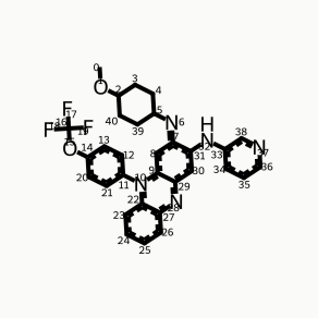 COC1CCC(/N=c2\cc3n(-c4ccc(OC(F)(F)F)cc4)c4ccccc4nc-3cc2Nc2cccnc2)CC1